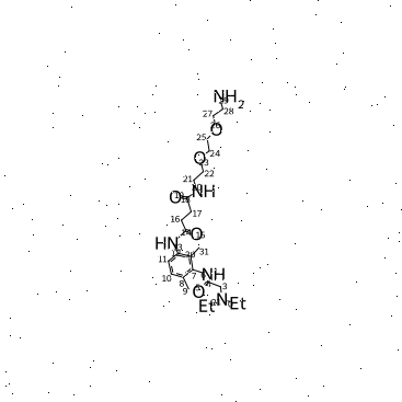 CCN(CC)CC(=O)Nc1c(C)ccc(NC(=O)CCC(=O)NCCOCCOCCN)c1C